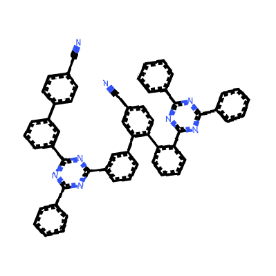 N#Cc1ccc(-c2cccc(-c3nc(-c4ccccc4)nc(-c4cccc(-c5cc(C#N)ccc5-c5ccccc5-c5nc(-c6ccccc6)nc(-c6ccccc6)n5)c4)n3)c2)cc1